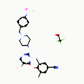 Cc1cc(C#N)cc(C)c1Oc1nc(NC2CCN(Cc3ccc([N+](=O)[O-])cc3)CC2)ncc1Br.O=C(O)C(F)(F)F